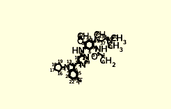 C=CC(=O)Nc1cc(Nc2cc(-c3cn(C4CCCC4)c4ccc(F)cc34)ncn2)c(OC)cc1N(C)CCN(C)C